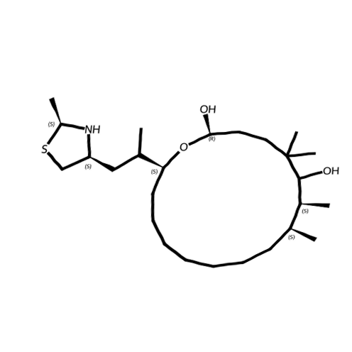 CC(C[C@H]1CS[C@@H](C)N1)[C@@H]1CCCCCCC[C@H](C)[C@H](C)C(O)C(C)(C)CC[C@H](O)O1